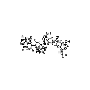 Cc1cc(NC(=O)c2ccc(C(=O)c3ccc(C(=O)NC(C)C)c(C(=O)O)c3)cc2C(=O)O)c(C(O)(C(F)(F)F)C(F)(F)F)cc1-c1cc(C(O)(C(F)(F)F)C(F)(F)F)c(C(C)C)cc1C